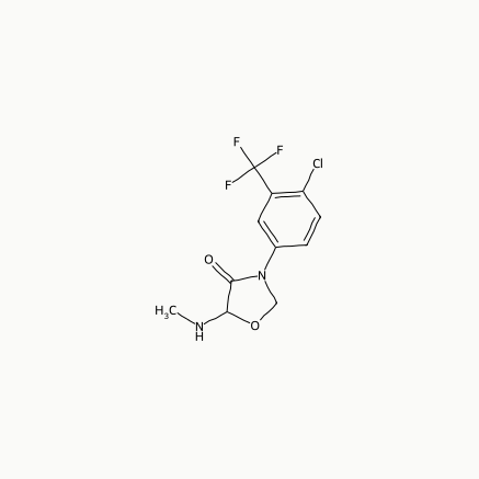 CNC1OCN(c2ccc(Cl)c(C(F)(F)F)c2)C1=O